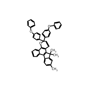 Cc1ccc2c(c1)C(C)(C)c1c3c(c4ccccc4c1-2)OC(c1ccc(Oc2ccccc2)cc1)(c1ccc(Oc2ccccc2)cc1)C=C3